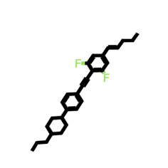 CCC/C=C/c1cc(F)c(C#Cc2ccc(C3CCC(CCC)CC3)cc2)c(F)c1